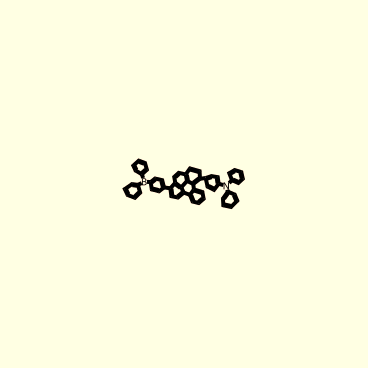 c1ccc(B(c2ccccc2)c2ccc(-c3ccc4c5ccccc5c5c(-c6ccc(N(c7ccccc7)c7ccccc7)cc6)ccc6ccc3c4c65)cc2)cc1